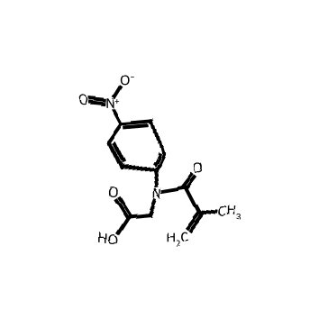 C=C(C)C(=O)N(CC(=O)O)c1ccc([N+](=O)[O-])cc1